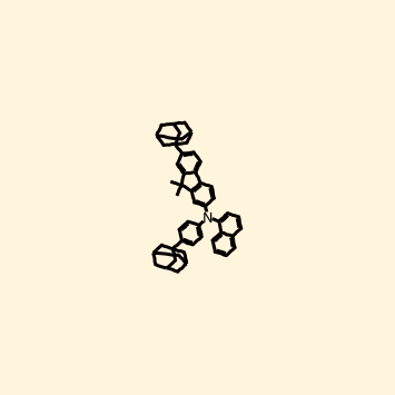 CC1(C)c2cc(N(c3ccc(C45CC6CC(CC(C6)C4)C5)cc3)c3cccc4ccccc34)ccc2-c2ccc(C34CC5CC(CC(C5)C3)C4)cc21